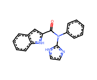 O=C(c1cc2ccccc2[nH]1)N(c1ccccc1)c1ncc[nH]1